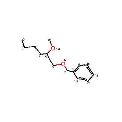 CCCCC(COCc1ccccc1)OC